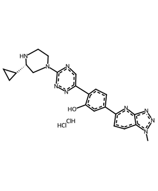 Cl.Cl.Cn1nnc2nc(-c3ccc(-c4cnc(N5CCN[C@@H](C6CC6)C5)nn4)c(O)c3)ccc21